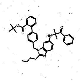 CCCCc1nc2ccc(NC(C)(C)C(=O)c3ccccc3)cc2n1Cc1ccc(-c2ccccc2C(=O)OC(C)(C)C)cc1